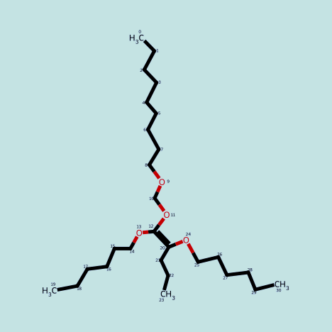 CCCCCCCCCOCOC(OCCCCCC)=C(CCC)OCCCCCC